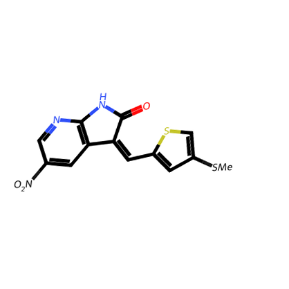 CSc1csc(C=C2C(=O)Nc3ncc([N+](=O)[O-])cc32)c1